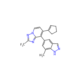 Cc1cc(-c2c(C3=CCCC3)ccn3nc(C(F)(F)F)nc23)cc2cn[nH]c12